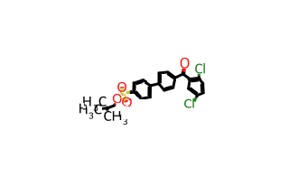 CC(C)(C)COS(=O)(=O)c1ccc(-c2ccc(C(=O)c3cc(Cl)ccc3Cl)cc2)cc1